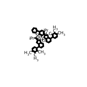 Cc1ccc(-c2cccc3c2C=C(CC(C)C)[CH]3[Zr]([Cl])([Cl])([c]2cccc3c2[SiH2]c2ccccc2-3)[CH]2C(CC(C)C)=Cc3c(-c4ccc(C)c(C)c4C)cccc32)c(C)c1C